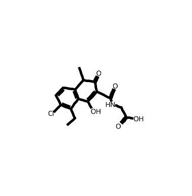 CCc1c(Cl)ccc2c1C(O)=C(C(=O)NCC(=O)O)C(=O)C2C